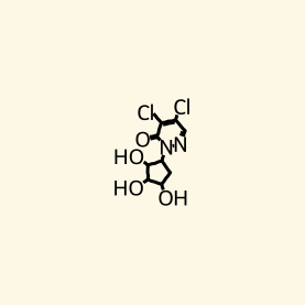 O=c1c(Cl)c(Cl)cnn1C1CC(O)C(O)C1O